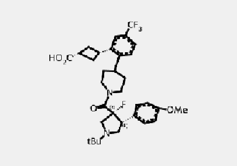 COc1ccc([C@@H]2CN(C(C)(C)C)C[C@@]2(F)C(=O)N2CCC(c3ccc(C(F)(F)F)cc3[C@H]3C[C@@H](C(=O)O)C3)CC2)cc1